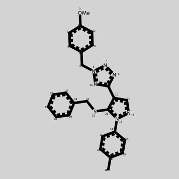 COc1ccc(Cn2nnc(-c3cnn(-c4ccc(C)cc4)c3SCc3ccccc3)n2)cc1